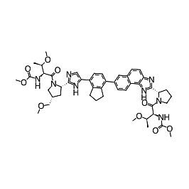 COC[C@H]1C[C@@H](c2ncc(-c3ccc(-c4ccc5c(ccc6nc([C@@H]7CCCN7C(=O)[C@@H](NC(=O)OC)[C@@H](C)OC)[nH]c65)c4)c4c3CCC4)[nH]2)N(C(=O)[C@@H](NC(=O)OC)[C@@H](C)OC)C1